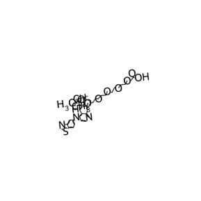 CC(C)(C)[S+]([O-])c1cc2c(Nc3ccc4scnc4c3)ccnc2cc1OCCOCCOCCOCCOCC(=O)O